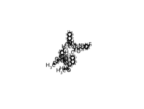 CCC1CN(C(C)(Cc2ccc3ccccc3c2)C(N)=O)CCN1C(=O)C(N)Cc1ccc(F)cc1.CCC1CN(C(Cc2ccc3ccccc3c2)C(=O)NC)CCN1C(=O)C(Cc1ccc(F)cc1)NC(=O)COC